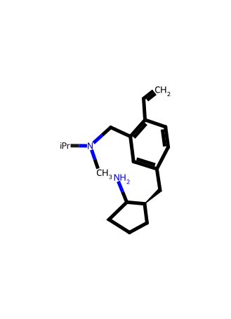 C=Cc1ccc(C[C@H]2CCCC2N)cc1CN(C)C(C)C